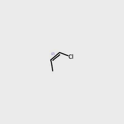 C/C=C\Cl